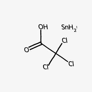 O=C(O)C(Cl)(Cl)Cl.[SnH2]